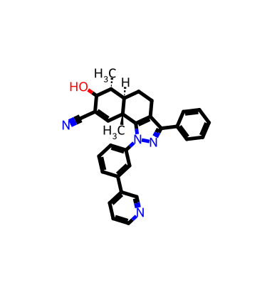 C[C@H]1C(O)C(C#N)=C[C@@]2(C)c3c(c(-c4ccccc4)nn3-c3cccc(-c4cccnc4)c3)CC[C@H]12